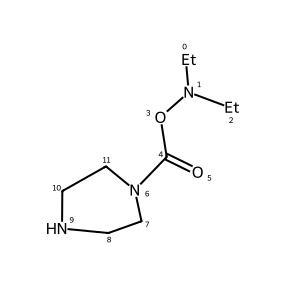 CCN(CC)OC(=O)N1CCNCC1